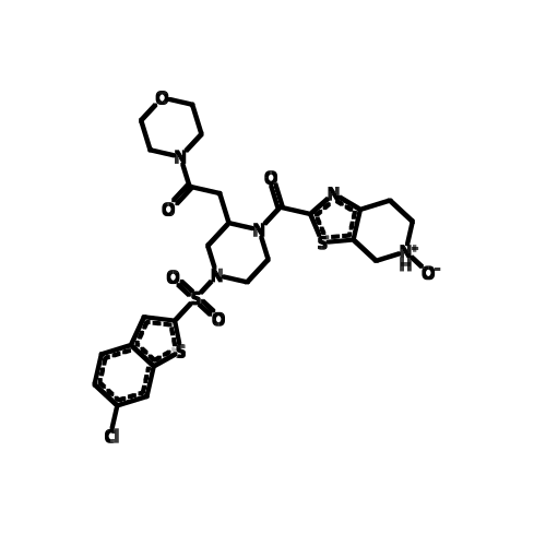 O=C(CC1CN(S(=O)(=O)c2cc3ccc(Cl)cc3s2)CCN1C(=O)c1nc2c(s1)C[NH+]([O-])CC2)N1CCOCC1